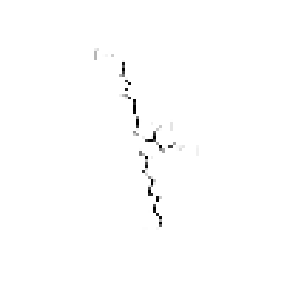 CCCCCCCCCCCCCCCCCCP(CCCCCCCCCCCCCCCCCC)C(O)C(O)CO